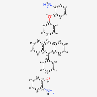 Nc1ccccc1Oc1ccc(-c2c3ccccc3c(-c3ccc(Oc4ccccc4N)cc3)c3ccccc23)cc1